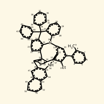 CCc1c(-c2ccccc2C)cc2c3c1C1=CCCC(=C1c1cccc4c1N2c1ccccc1C4(c1ccccc1)c1ccccc1)c1cc2ccccc2cc1NS3